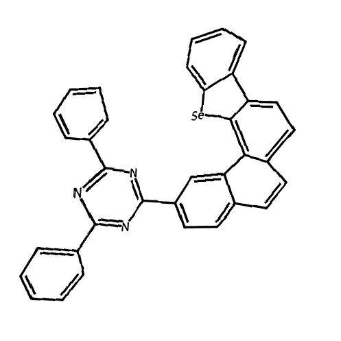 c1ccc(-c2nc(-c3ccccc3)nc(-c3ccc4ccc5ccc6c7ccccc7[se]c6c5c4c3)n2)cc1